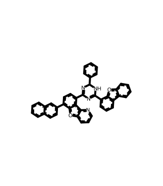 c1ccc(C2N=C(c3ccc(-c4ccc5ccccc5c4)c4oc5cccnc5c34)N=C(c3cccc4c3oc3ccccc34)N2)cc1